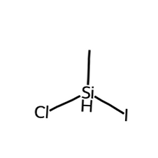 C[SiH](Cl)I